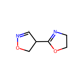 [C]1=NOCC1C1=NCCO1